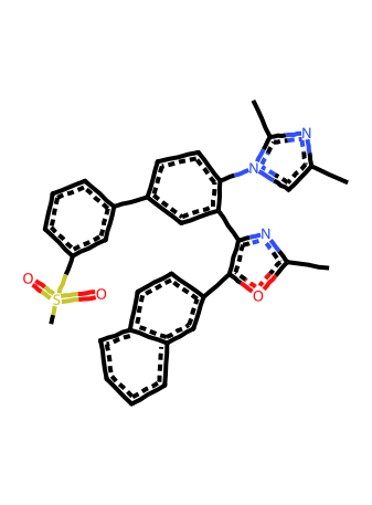 Cc1cn(-c2ccc(-c3cccc(S(C)(=O)=O)c3)cc2-c2nc(C)oc2-c2ccc3ccccc3c2)c(C)n1